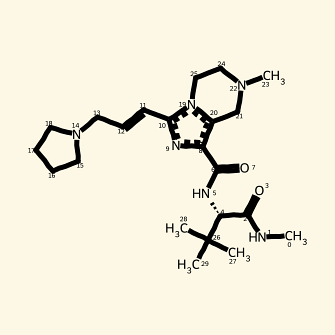 CNC(=O)[C@@H](NC(=O)c1nc(C=CCN2CCCC2)n2c1CN(C)CC2)C(C)(C)C